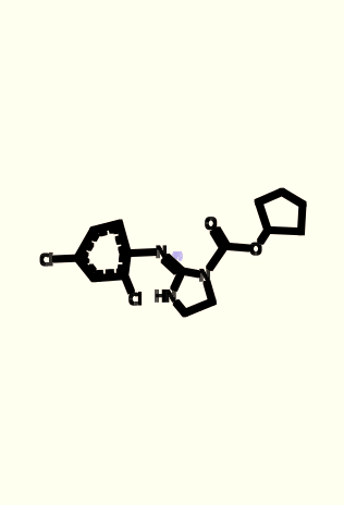 O=C(OC1CCCC1)N1CCN/C1=N\c1ccc(Cl)cc1Cl